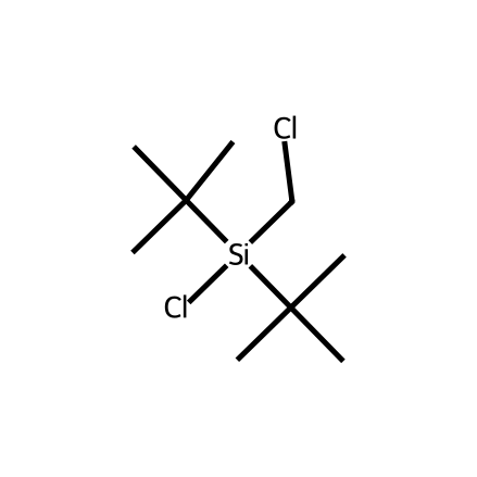 CC(C)(C)[Si](Cl)(CCl)C(C)(C)C